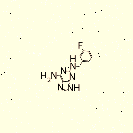 Nc1nc(NCc2cccc(F)c2)nc2[nH]cnc12